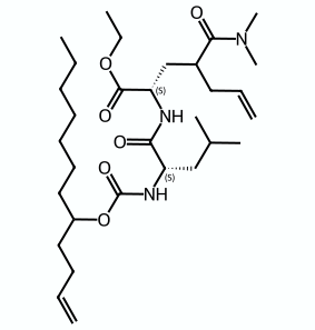 C=CCCC(CCCCCCC)OC(=O)N[C@@H](CC(C)C)C(=O)N[C@@H](CC(CC=C)C(=O)N(C)C)C(=O)OCC